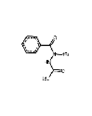 CC(C)(C)C(=O)NN(C(=O)c1ccccc1)C(C)(C)C